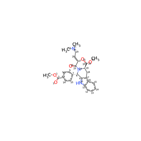 COC(=O)c1ccc([C@H]2c3[nH]c4ccccc4c3C[C@H](C(=O)OC)N2C(=O)/C=C/CN(C)C)cc1